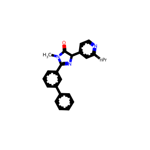 CCCc1cc(C2N=C(c3cccc(-c4ccccc4)c3)N(C)C2=O)ccn1